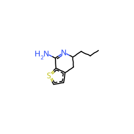 CCCC1Cc2ccsc2C(N)=N1